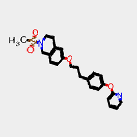 CS(=O)(=O)N1CCc2cc(OCCCc3ccc(Oc4ccccn4)cc3)ccc2C1